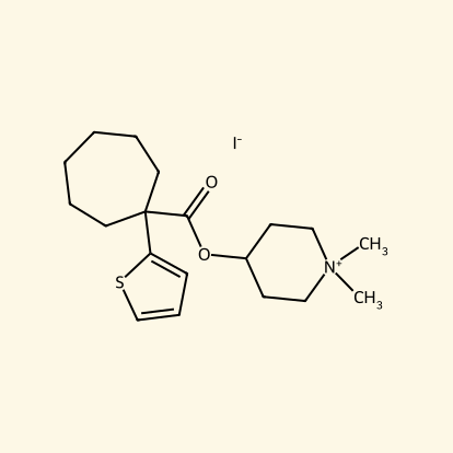 C[N+]1(C)CCC(OC(=O)C2(c3cccs3)CCCCCC2)CC1.[I-]